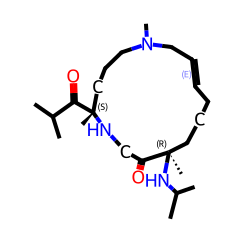 CC(C)N[C@]1(C)CCC/C=C/CN(C)CCC[C@@](C)(C(=O)C(C)C)NCC1=O